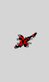 C=C(C)C(=O)OCCN1CCN(C(=O)C(CC(C)C)N2C(=O)c3cc(Oc4cccc(C#N)c4)c4c5c(Oc6cccc(C#N)c6)cc6c7c(cc(Oc8cccc(C#N)c8)c(c8c(Oc9cccc(C#N)c9)cc(c3c48)C2=O)c75)C(=O)N(C(CC(C)C)C(=O)N2CCN(CCOC(=O)C(=C)C)CC2)C6=O)CC1